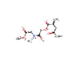 C=C(CC(=O)OC)C(=O)OCC(=O)N(C)CC(=O)OC(C)(C)C